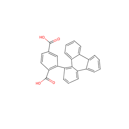 O=C(O)c1ccc(C(=O)O)c(-c2cccc3c4ccccc4c4ccccc4c23)c1